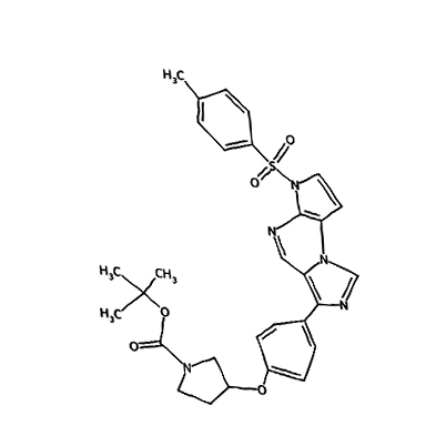 Cc1ccc(S(=O)(=O)n2ccc3c2ncc2c(-c4ccc(OC5CCN(C(=O)OC(C)(C)C)C5)cc4)ncn23)cc1